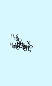 CCOC(=O)CNC(C)(C(=O)N1CCCC1)c1ccc2c(c1)nc(CNc1ccccc1C#N)n2C